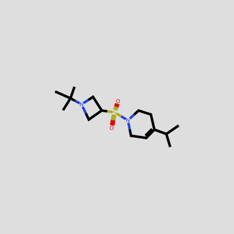 CC(C)C1=CCN(S(=O)(=O)C2CN(C(C)(C)C)C2)CC1